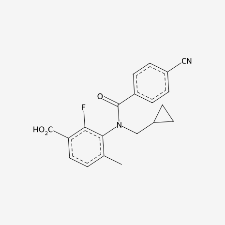 Cc1ccc(C(=O)O)c(F)c1N(CC1CC1)C(=O)c1ccc(C#N)cc1